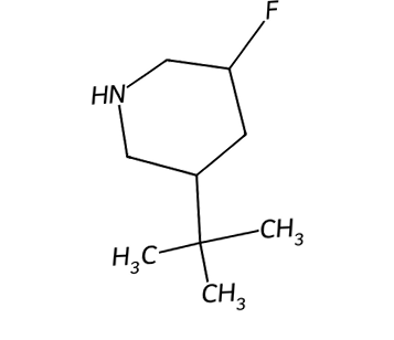 CC(C)(C)C1CNCC(F)C1